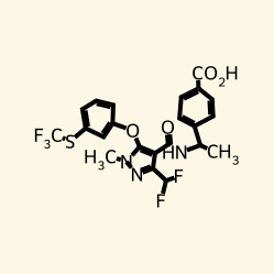 CC(NC(=O)c1c(C(F)F)nn(C)c1Oc1cccc(SC(F)(F)F)c1)c1ccc(C(=O)O)cc1